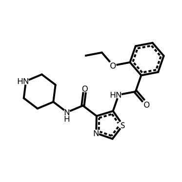 CCOc1ccccc1C(=O)Nc1scnc1C(=O)NC1CCNCC1